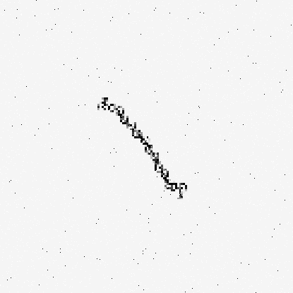 O=C(c1ccc(OCCOCCOCCOCCOCCOCCOCCOCCOCCOc2ccc(C(=O)C3CC3)cc2)cc1)C1CC1